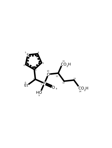 CCC(c1ccsc1)P(=O)(O)OC(CCC(=O)O)C(=O)O